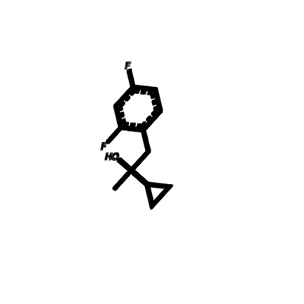 CC(O)(Cc1ccc(F)cc1F)C1CC1